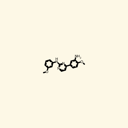 COc1cccc(Nc2nccc(-c3ccc(OC)c(N)c3)n2)c1